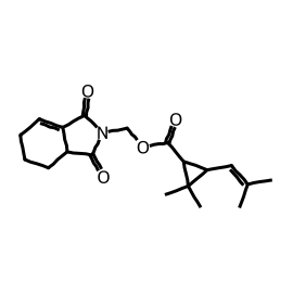 CC(C)=CC1C(C(=O)OCN2C(=O)C3=CCCCC3C2=O)C1(C)C